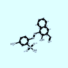 Cc1ccc(/N=N/c2c(O)c(C=O)cc3ccccc23)c(S(=O)(=O)O)c1